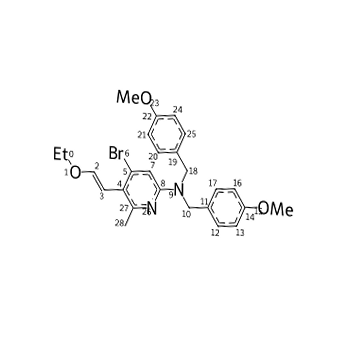 CCOC=Cc1c(Br)cc(N(Cc2ccc(OC)cc2)Cc2ccc(OC)cc2)nc1C